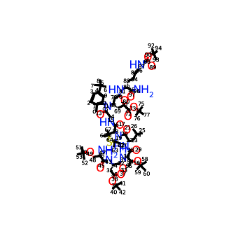 Cc1ccc(C(C)(C)C)cc1N(C(=O)CNC(=O)C1N(C(=O)[C@@H](CC(C)C)NC(=O)[C@@H](NC(=O)[C@H](CC(=O)OC(C)(C)C)NC(=O)[C@@H](N)COC(C)(C)C)C(C)OC(C)(C)C)C(C)(C)SC1(C)C)[C@@H](CCC(=O)OC(C)(C)C)CC(=O)N[C@H](CCCCNC(=O)OC(C)(C)C)C(N)=O